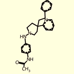 CC(=O)Nc1ccc(NN2CCC(CCc3ccccc3)(c3ccccn3)CC2)cc1